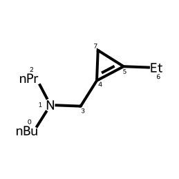 CCCCN(CCC)CC1=C(CC)C1